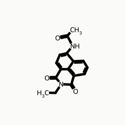 CCN1C(=O)c2cccc3c(NC(C)=O)ccc(c23)C1=O